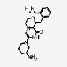 NCc1ccccc1CC1OCCN2C=C(N3CCCC(N)C3)NC(=O)C12